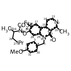 COc1ccc(Cn2c(=O)c3c(C)nccc3c3cc(F)c(ON(C(=O)O)C(C)CC(C)C)cc32)cc1